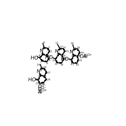 Cc1ccc2cccc(O)c2n1.Cc1ccc2cccc(O)c2n1.Cc1ccc2cccc(O)c2n1.Cc1ccc2cccc(O)c2n1.[Al+3].[Al+3].[O-2].[O-2].[O-2]